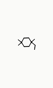 CCC1(C)CCC(C)(C)CC1